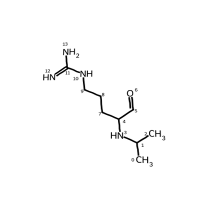 CC(C)NC(C=O)CCCNC(=N)N